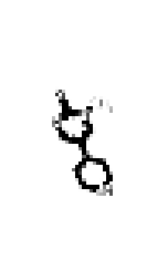 Cn1cc(C2CCNCC2)cnc1=O